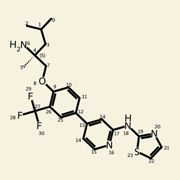 CC(C)C[C@](C)(N)COc1ccc(-c2ccnc(Nc3nccs3)c2)cc1C(F)(F)F